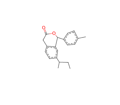 CCC(C)c1ccc2c(c1)C(c1ccc(C)cc1)OC(=O)C2